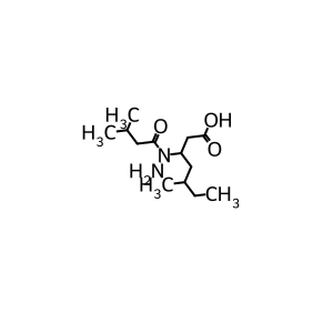 CCC(C)CC(CC(=O)O)N(N)C(=O)CC(C)C